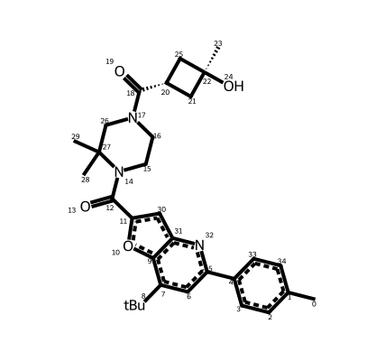 Cc1ccc(-c2cc(C(C)(C)C)c3oc(C(=O)N4CCN(C(=O)[C@H]5C[C@](C)(O)C5)CC4(C)C)cc3n2)cc1